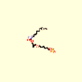 C=C(COCCCCCCOS(C)(=O)=O)COC(=O)NCCCCCCCCCCCCCCC